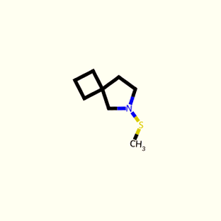 CSN1CCC2(CCC2)C1